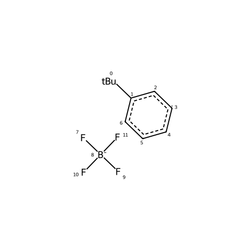 CC(C)(C)c1c[c]ccc1.F[B-](F)(F)F